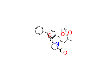 CC(C)OC(=O)C(C)CC(Cc1ccc(-c2ccccc2)cc1)N1C(=C=O)CCC1=C=O